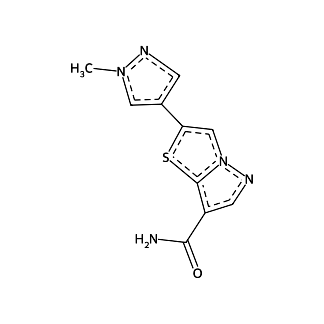 Cn1cc(-c2cn3ncc(C(N)=O)c3s2)cn1